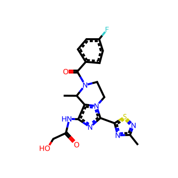 Cc1nsc(-c2nc(NC(=O)CO)c3n2CCN(C(=O)c2ccc(F)cc2)C3C)n1